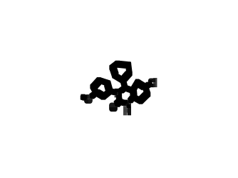 COc1cccc(N2C(=O)Nc3ccc(Cl)cc3C2c2ccccc2)c1